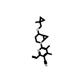 C=Cc1nc(N2CCC(OCC3(C)CC3)C3CC32)c(C)c(C)c1C#N